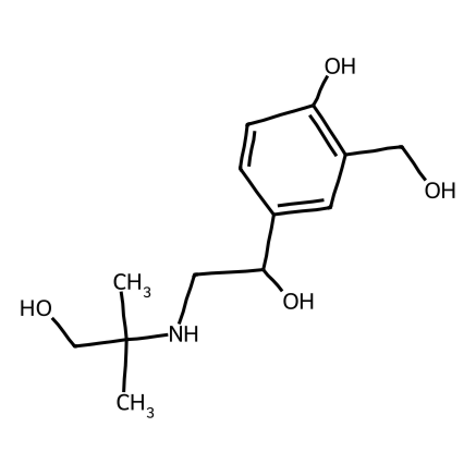 CC(C)(CO)NCC(O)c1ccc(O)c(CO)c1